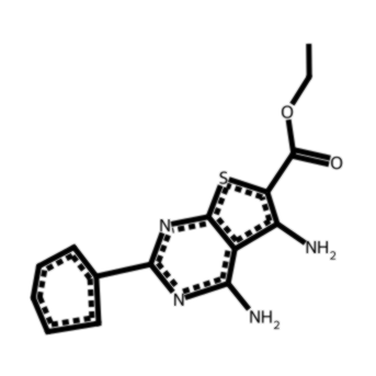 CCOC(=O)c1sc2nc(-c3ccccc3)nc(N)c2c1N